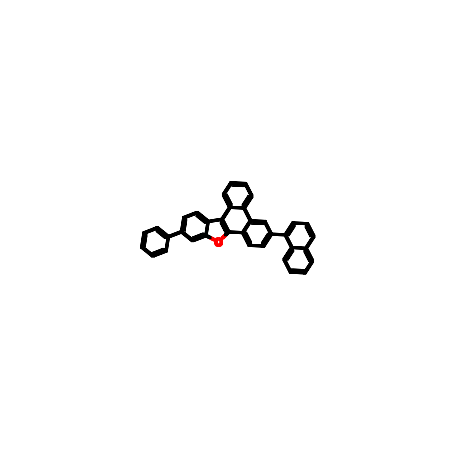 c1ccc(-c2ccc3c(c2)oc2c4ccc(-c5cccc6ccccc56)cc4c4ccccc4c32)cc1